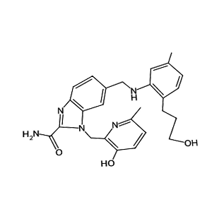 Cc1ccc(CCCO)c(NCc2ccc3nc(C(N)=O)n(Cc4nc(C)ccc4O)c3c2)c1